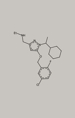 CCNCc1cc(OCc2cc(Cl)ccc2F)n(C(C)C2CCCCC2)n1